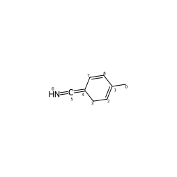 CC1=CCC(=C=N)C=C1